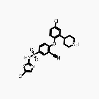 N#Cc1cc(S(=O)(=O)Nc2ncc(Cl)s2)ccc1Oc1ccc(Cl)cc1C1CCNCC1